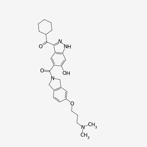 CN(C)CCCOc1ccc2c(c1)CN(C(=O)c1cc3c(C(=O)C4CCCCC4)n[nH]c3cc1O)C2